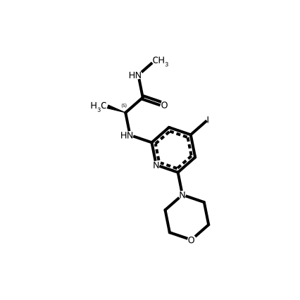 CNC(=O)[C@H](C)Nc1cc(I)cc(N2CCOCC2)n1